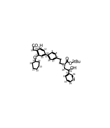 CC(C)(C)OC(=O)N(CCc1ccc(-c2ccc(CC(=O)O)c(OC3CCCCC3)c2)cc1)C[C@@H](O)c1cccnc1